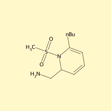 CCCCC1=CC=CC(CN)N1S(C)(=O)=O